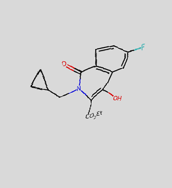 CCOC(=O)c1c(O)c2cc(F)ccc2c(=O)n1CC1CC1